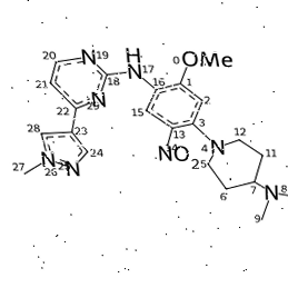 COc1cc(N2CCC(N(C)C)CC2)c([N+](=O)[O-])cc1Nc1nccc(-c2cnn(C)c2)n1